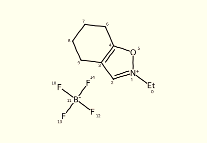 CC[n+]1cc2c(o1)CCCC2.F[B-](F)(F)F